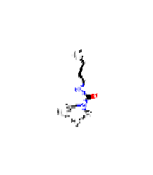 CCCCNC(=O)N([Se]C)[Se]C